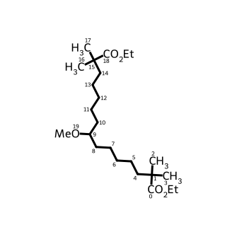 CCOC(=O)C(C)(C)CCCCCC(CCCCCC(C)(C)C(=O)OCC)OC